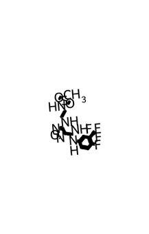 CS(=O)(=O)NCCNc1nonc1C(=N)Nc1ccc(F)c(C(F)(F)F)c1